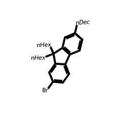 CCCCCCCCCCc1ccc2c(c1)C(CCCCCC)(CCCCCC)c1cc(Br)ccc1-2